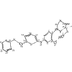 C[C@]1(CO)CN(c2ccc(Sc3cccc(OCc4ccccc4)c3)cc2Cl)CCN1